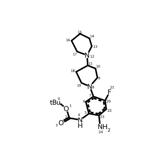 CC(C)(C)OC(=O)Nc1cc(N2CCC(N3CCCCC3)CC2)c(F)cc1N